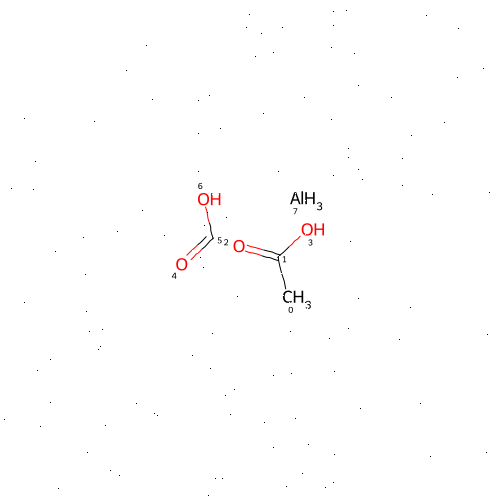 CC(=O)O.O=CO.[AlH3]